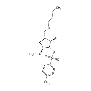 CCCCOC[C@H]1O[C@H](OC)[C@@H](OS(=O)(=O)c2ccc(C)cc2)[C@@H]1F